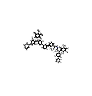 [2H]c1c([2H])c([2H])c(N(C(=C)/C=C\C(=C)c2cccc(-c3cccc(-c4ccc(N(c5ccc(C6C=CC=CC6)cc5)c5c([2H])c([2H])c([2H])c([2H])c5[2H])cc4)c3)c2)c2ccc(C3C=CC=CC3)cc2)c([2H])c1[2H]